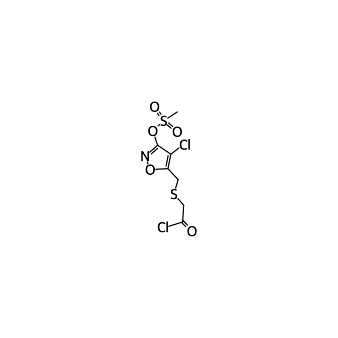 CS(=O)(=O)Oc1noc(CSCC(=O)Cl)c1Cl